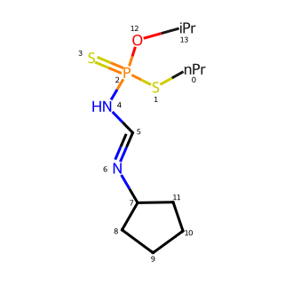 CCCSP(=S)(NC=NC1CCCC1)OC(C)C